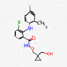 Cc1cc(I)ccc1Nc1c(F)cccc1C(=O)NOCC1(CO)CC1